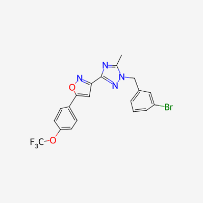 Cc1nc(-c2cc(-c3ccc(OC(F)(F)F)cc3)on2)nn1Cc1cccc(Br)c1